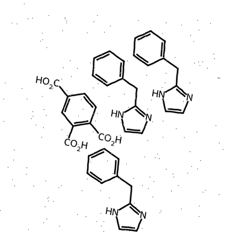 O=C(O)c1ccc(C(=O)O)c(C(=O)O)c1.c1ccc(Cc2ncc[nH]2)cc1.c1ccc(Cc2ncc[nH]2)cc1.c1ccc(Cc2ncc[nH]2)cc1